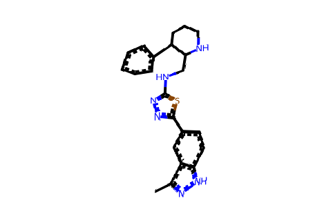 Cc1n[nH]c2ccc(-c3nnc(NCC4NCCCC4c4ccccc4)s3)cc12